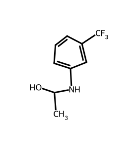 CC(O)Nc1cccc(C(F)(F)F)c1